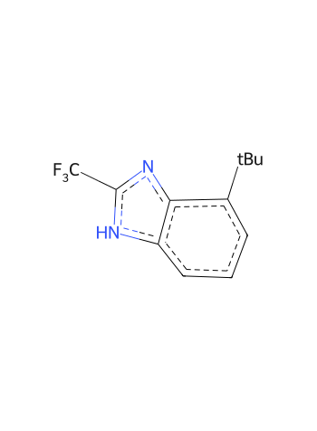 CC(C)(C)c1cccc2[nH]c(C(F)(F)F)nc12